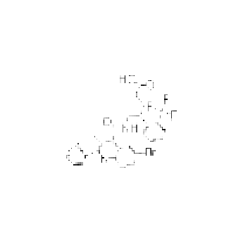 Cc1c(-c2ccccc2)nc2ccc(Br)cc2c1C(=O)NCC(CCC(=O)O)c1ccccc1C(F)(F)F